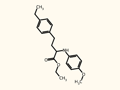 CCOC(=O)C(CCc1ccc(CC)cc1)Nc1ccc(OC)cc1